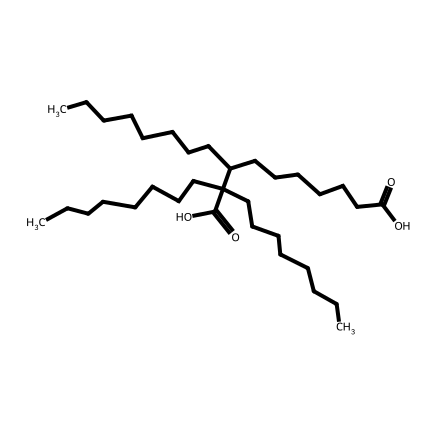 CCCCCCCCC(CCCCCCC(=O)O)C(CCCCCCCC)(CCCCCCCC)C(=O)O